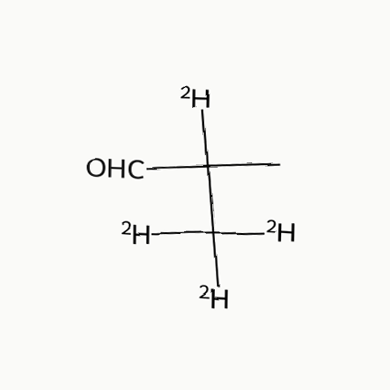 [2H]C([2H])([2H])C([2H])(C)C=O